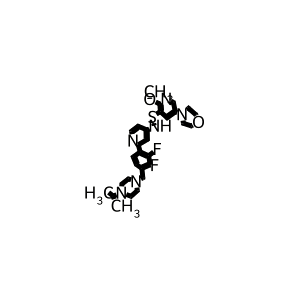 COc1ncc(N2CCOCC2)cc1SNc1ccnc(-c2ccc(CN3CCN(C(C)C)CC3)c(F)c2F)c1